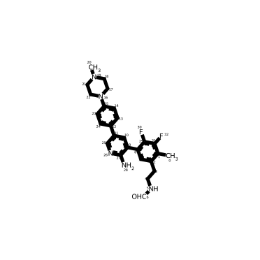 Cc1c(CCNC=O)cc(-c2cc(-c3ccc(N4CCN(C)CC4)cc3)cnc2N)c(F)c1F